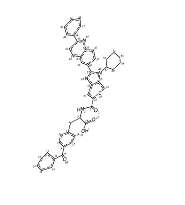 O=C(NC(Cc1ccc(C(=O)c2ccccc2)cc1)C(=O)O)c1ccc2c(c1)nc(-c1ccc3nc(-c4ccccc4)cnc3c1)n2C1CCCCC1